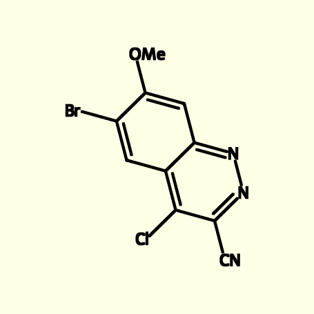 COc1cc2nnc(C#N)c(Cl)c2cc1Br